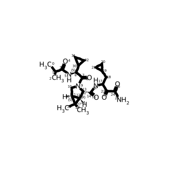 CC(C)C(=O)N[C@H](C(=O)N1C[C@H]2[C@@H]([C@H]1C(=O)NC(CC1CC1)C(=O)C(N)=O)C2(C)C)C1CC1